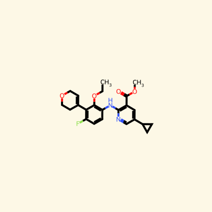 CCOc1c(Nc2ncc(C3CC3)cc2C(=O)OC)ccc(F)c1C1=CCOCC1